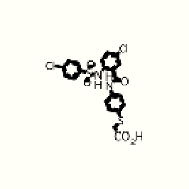 O=C(O)CSc1ccc(NC(=O)c2cc(Cl)ccc2NS(=O)(=O)c2ccc(Cl)cc2)cc1